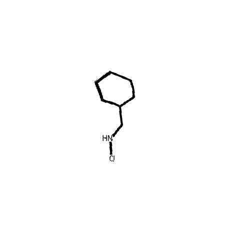 ClNCC1CCCCC1